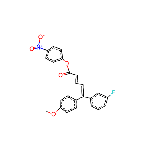 COc1ccc(/C(=C\C=C\C(=O)Oc2ccc([N+](=O)[O-])cc2)c2cccc(F)c2)cc1